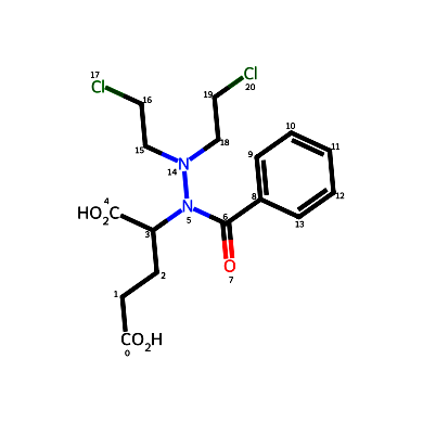 O=C(O)CCC(C(=O)O)N(C(=O)c1ccccc1)N(CCCl)CCCl